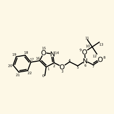 Cc1c(OCCN(C=O)OC(C)(C)C)noc1-c1ccccc1